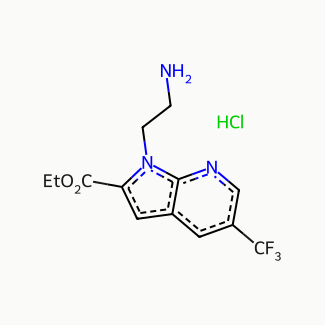 CCOC(=O)c1cc2cc(C(F)(F)F)cnc2n1CCN.Cl